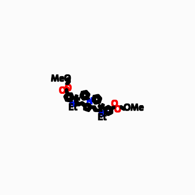 CCN1/C(=C/C=C2\CCC(/C=C/C3=[N+](CC)c4ccc(C(=O)OCCOC)cc4C3(C)C)=C2N(c2ccccc2)c2ccccc2)C(C)(C)c2cc(C(=O)OCCOC)ccc21